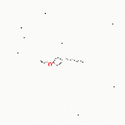 C=CCO[C@H]1CC[C@H](CCCCCCC)CC1